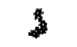 Cc1sc2ccc(OCc3ccccc3F)cc2c1C(=O)N[C@H]1CCNCC1(F)F